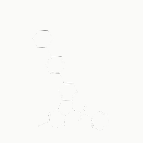 O=S(=O)(c1ccccc1)n1c2ccc(-c3ccc(N4CCOCC4)cn3)cc2c2cc(Cl)cnc21